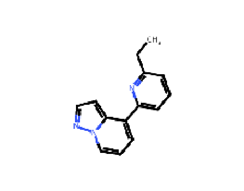 CCc1cccc(-c2cccn3nccc23)n1